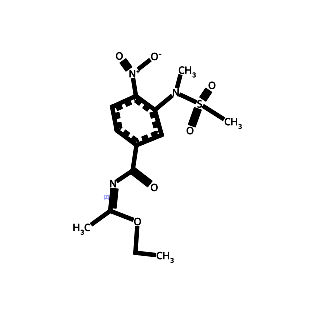 CCO/C(C)=N\C(=O)c1ccc([N+](=O)[O-])c(N(C)S(C)(=O)=O)c1